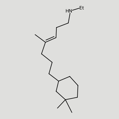 CCNCCC=C(C)CCCC1CCCC(C)(C)C1